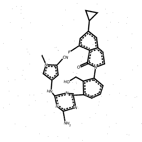 Cn1cc(Nc2nc(N)nc(-c3cccc(-n4ccc5cc(C6CC6)cc(F)c5c4=O)c3CO)n2)cc1C#N